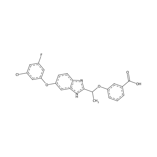 CC(Oc1cccc(C(=O)O)c1)c1nc2ccc(Oc3cc(F)cc(Cl)c3)cc2[nH]1